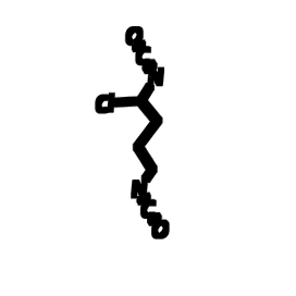 O=C=NCCCC(Cl)N=C=O